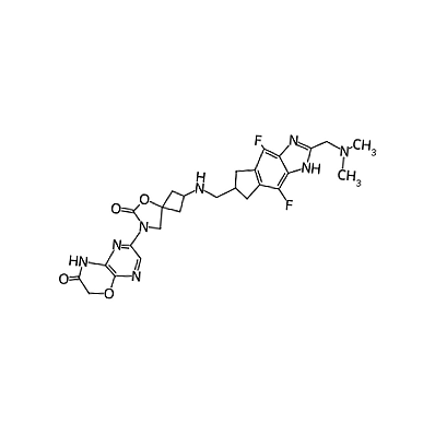 CN(C)Cc1nc2c(F)c3c(c(F)c2[nH]1)CC(CNC1CC2(C1)CN(c1cnc4c(n1)NC(=O)CO4)C(=O)O2)C3